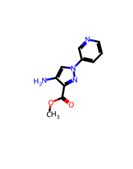 COC(=O)c1nn(-c2cccnc2)cc1N